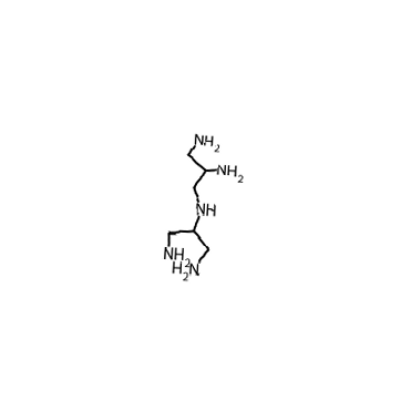 NCC(N)CNC(CN)CN